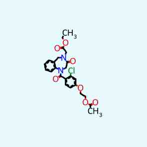 CCOC(=O)CN1Cc2ccccc2N(C(=O)c2ccc(OCCOC(C)=O)cc2Cl)CC1=O